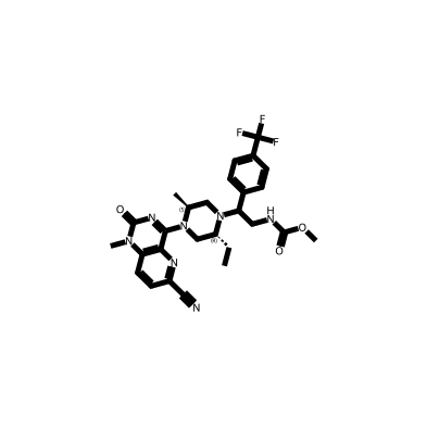 CC[C@@H]1CN(c2nc(=O)n(C)c3ccc(C#N)nc23)[C@@H](C)CN1C(CNC(=O)OC)c1ccc(C(F)(F)F)cc1